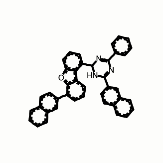 c1ccc(C2=NC(c3cccc4oc5c(-c6ccc7ccccc7c6)cccc5c34)NC(c3ccc4ccccc4c3)=N2)cc1